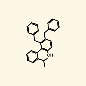 CC(C)c1ccccc1-c1c(O)ccc(Cc2ccccc2)c1Cc1ccccc1